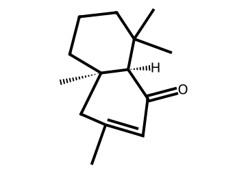 CC1=CC(=O)[C@@H]2C(C)(C)CCC[C@]2(C)C1